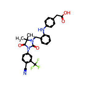 CC1(C)C(=O)N(c2ccc(C#N)c(C(F)(F)F)c2)C(=O)N1Cc1ccccc1Nc1ccc(CC(=O)O)cc1